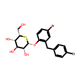 CCc1ccc(Cc2cc(Br)ccc2O[C@H]2S[C@@H](CO)[C@@H](O)[C@H](O)[C@H]2O)cc1